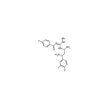 Cc1cc(C(N)CC(N)N/C(=N\C(=O)c2ccc(F)cc2)NC(C)(C)C)ccc1F